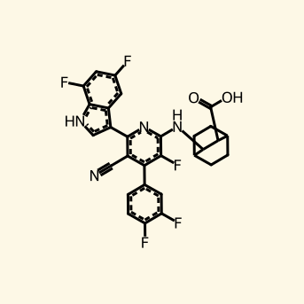 N#Cc1c(-c2c[nH]c3c(F)cc(F)cc23)nc(NC2C3CCC(CC3)C2C(=O)O)c(F)c1-c1ccc(F)c(F)c1